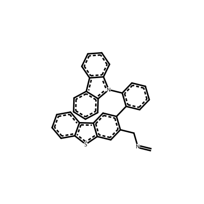 C=NCc1cc2sc3ccccc3c2cc1-c1ccccc1-n1c2ccccc2c2ccccc21